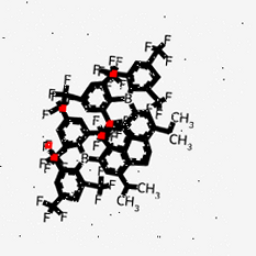 CC(C)c1cc(B(c2c(C(F)(F)F)cc(C(F)(F)F)cc2C(F)(F)F)c2c(C(F)(F)F)cc(C(F)(F)F)cc2C(F)(F)F)c2ccc3c(B(c4c(C(F)(F)F)cc(C(F)(F)F)cc4C(F)(F)F)c4c(C(F)(F)F)cc(C(F)(F)F)cc4C(F)(F)F)cc(C(C)C)c4ccc1c2c34